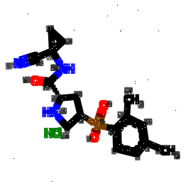 Cc1ccc(S(=O)(=O)[C@H]2CN[C@H](C(=O)NC3(C#N)CC3)C2)c(C)c1.Cl